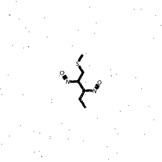 CCC(N=O)C(CSC)N=O